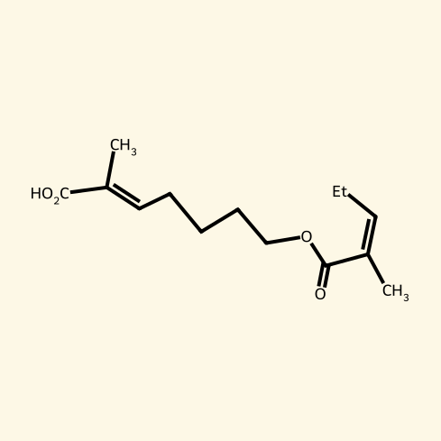 CCC=C(C)C(=O)OCCCCC=C(C)C(=O)O